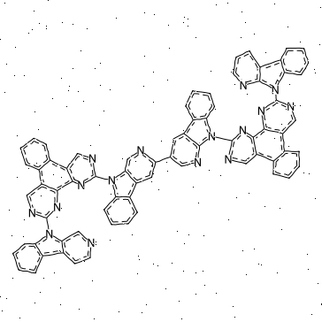 c1ccc2c(c1)c1cnc(-n3c4ccccc4c4ccncc43)nc1c1nc(-n3c4ccccc4c4cc(-c5cnc6c(c5)c5ccccc5n6-c5ncc6c7ccccc7c7cnc(-n8c9ccccc9c9cccnc98)nc7c6n5)ncc43)ncc21